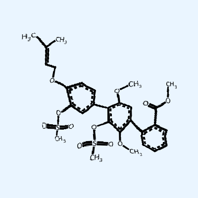 COC(=O)c1ccccc1-c1cc(OC)c(-c2ccc(OCC=C(C)C)c(OS(C)(=O)=O)c2)c(OS(C)(=O)=O)c1OC